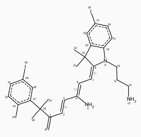 C=C(/C=C/C(N)=C/C=C1/N(CCCN)c2ccc(I)cc2C1(C)C)C(C)(C)c1cc(I)ccc1C